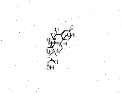 C[C@]12CC[C@H]3[C@@H]([C@H]4C[C@H]4C4=CC(=O)CC[C@@]43CO)[C@@H]1CC[C@@H]2C(=O)CO